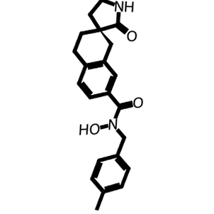 Cc1ccc(CN(O)C(=O)c2ccc3c(c2)C[C@]2(CCNC2=O)CC3)cc1